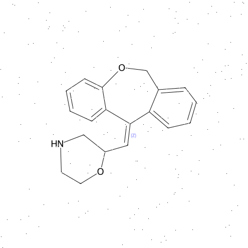 C(=C1\c2ccccc2COc2ccccc21)/C1CNCCO1